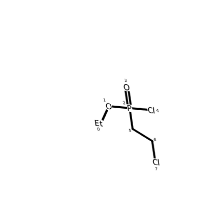 CCOP(=O)(Cl)CCCl